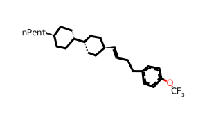 CCCCC[C@H]1CC[C@H]([C@H]2CC[C@H](C=CCCc3ccc(OC(F)(F)F)cc3)CC2)CC1